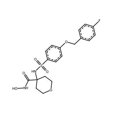 O=C(NO)C1(NS(=O)(=O)c2ccc(OCc3ccc(F)cc3)cc2)CCOCC1